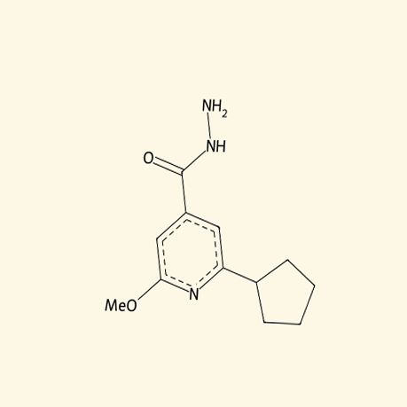 COc1cc(C(=O)NN)cc(C2CCCC2)n1